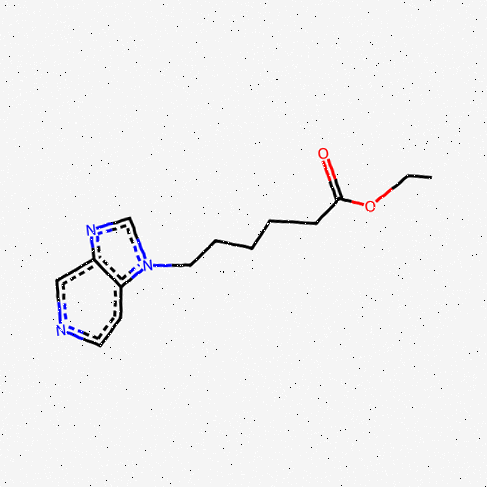 CCOC(=O)CCCCCn1cnc2cnccc21